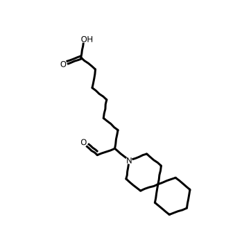 O=CC(CCCCCC(=O)O)N1CCC2(CCCCC2)CC1